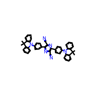 CC1(C)c2ccccc2N(c2ccc(-c3nc(C#N)c(-c4ccc(N5c6ccccc6C(C)(C)c6ccccc65)cc4)nc3C#N)cc2)c2ccccc21